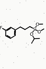 CO[Si](CCCc1cccc(F)c1)(OC)OC(C)C